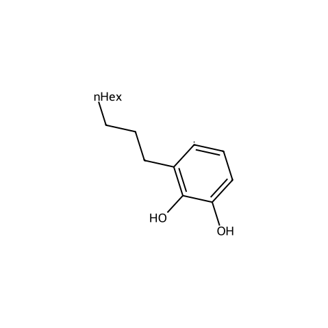 CCCCCCCCCc1[c]ccc(O)c1O